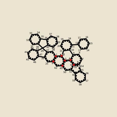 c1ccc(-c2ccccc2-c2c(-c3ccccc3)cccc2N(c2ccc3c(c2)C2(c4ccccc4-c4ccccc42)c2ccccc2-3)c2ccc3c(c2)sc2ccccc23)cc1